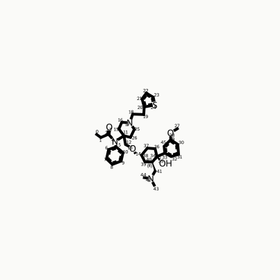 CCC(=O)N(c1ccccc1)C1(COC)CCN(CCc2cccs2)CC1.COc1cccc([C@@]2(O)CCCC[C@@H]2CN(C)C)c1